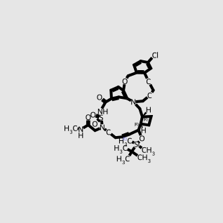 CNC(=O)CN1CC/C=C/C(O[Si](C)(C)C(C)(C)C)[C@@H]2CC[C@H]2CN2CCCCc3cc(Cl)ccc3COc3ccc(cc32)C(=O)NS1(=O)=O